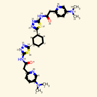 CN(C)c1ccc(CC(=O)Nc2nnc([C@H]3CCC[C@H](c4nnc(NC(=O)Cc5ccc(N(C)C)cn5)s4)C3)s2)nc1